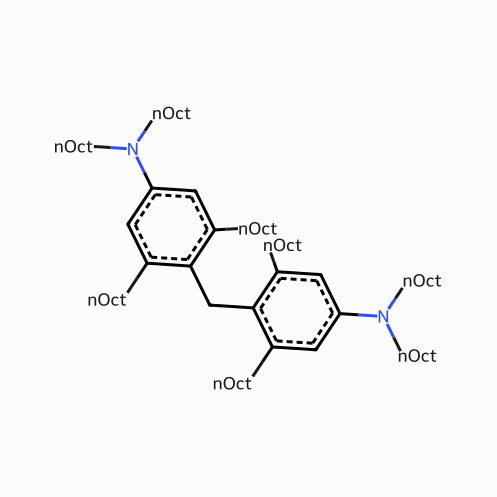 CCCCCCCCc1cc(N(CCCCCCCC)CCCCCCCC)cc(CCCCCCCC)c1Cc1c(CCCCCCCC)cc(N(CCCCCCCC)CCCCCCCC)cc1CCCCCCCC